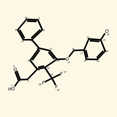 O=C(O)Cc1cc(-c2ccccc2)cc(OCc2cccc(Cl)c2)c1C(F)(F)F